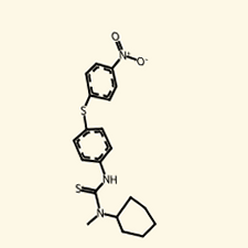 CN(C(=S)Nc1ccc(Sc2ccc([N+](=O)[O-])cc2)cc1)C1CCCCC1